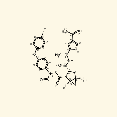 C[C@@H](NC(=O)[C@@H]1C[C@]2(C)C[C@@H]2N1C(=O)CN(C=O)c1ccc(Oc2ccc(F)cc2)cc1)c1cc(C(=N)N)cs1